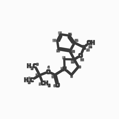 CC(C)(C)OC(=O)N1CCC2(C1)OB(O)c1ccccc12